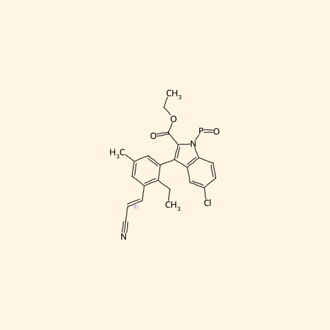 CCOC(=O)c1c(-c2cc(C)cc(/C=C/C#N)c2CC)c2cc(Cl)ccc2n1P=O